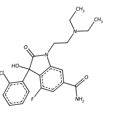 CCN(CC)CCN1C(=O)C(O)(c2ccccc2Cl)c2c(F)cc(C(N)=O)cc21